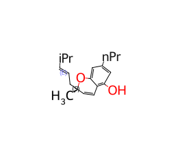 CCCc1cc(O)c2c(c1)O[C@@](C)(C/C=C/C(C)C)C=C2